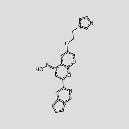 ON=c1cc(-c2cc3cccn3cn2)oc2ccc(OCCn3ccnc3)cc12